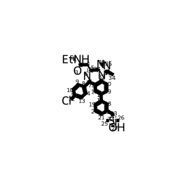 CCNC(=O)C[C@@H]1N=C(c2ccc(Cl)cc2)c2cc(-c3cccc(C[Si](C)(C)O)c3)ccc2-n2c(C)nnc21